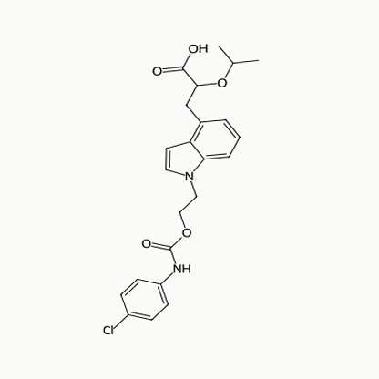 CC(C)OC(Cc1cccc2c1ccn2CCOC(=O)Nc1ccc(Cl)cc1)C(=O)O